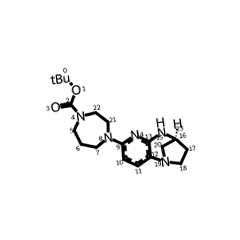 CC(C)(C)OC(=O)N1CCCN(c2ccc3c(n2)N[C@H]2CCN3C2)CC1